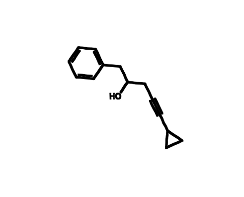 OC(CC#CC1CC1)Cc1ccccc1